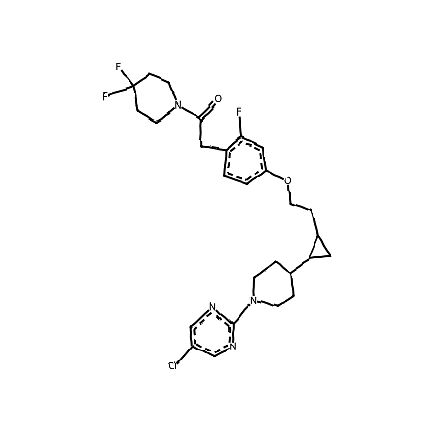 O=C(Cc1ccc(OCCC2CC2C2CCN(c3ncc(Cl)cn3)CC2)cc1F)N1CCC(F)(F)CC1